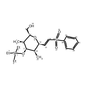 CC[Si](CC)(CC)O[C@H]1[C@@H](C)[C@@H](CO)O[C@@H](/C=C/S(=O)(=O)c2ccccc2)[C@H]1C